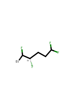 [CH2]CC(F)[C@@H](F)CCC(F)F